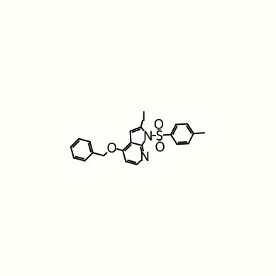 Cc1ccc(S(=O)(=O)n2c(I)cc3c(OCc4ccccc4)ccnc32)cc1